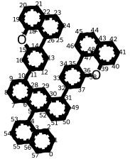 c1ccc2c(-c3c4cccc(-c5ccc6c(c5)Oc5cccc7cccc-6c57)c4cc4c(-c5ccc6c(c5)Oc5cccc7cccc-6c57)cccc34)cccc2c1